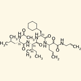 C=CCNC(=O)C(=O)C(CC=C)NC(=O)[C@H](CC1CCCCC1)NC(=O)[C@@H](NC(=O)[C@H](CC(C)C)NC(C)=O)[C@H](C)CC